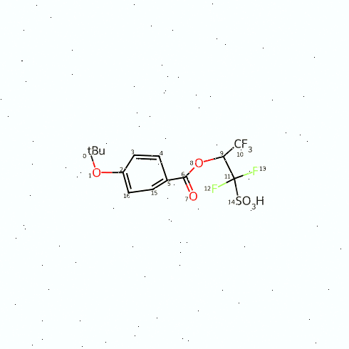 CC(C)(C)Oc1ccc(C(=O)OC(C(F)(F)F)C(F)(F)S(=O)(=O)O)cc1